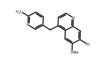 CCc1cc2nccc(Cc3ccc(C)nc3)c2cc1OC